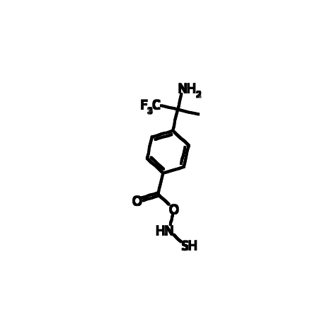 CC(N)(c1ccc(C(=O)ONS)cc1)C(F)(F)F